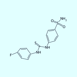 NS(=O)(=O)c1ccc(NC(=S)Nc2ccc(F)cc2)cc1